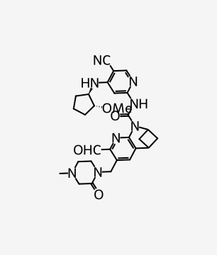 CO[C@@H]1CCC[C@H]1Nc1cc(NC(=O)N2c3nc(C=O)c(CN4CCN(C)CC4=O)cc3C3CC2C3)ncc1C#N